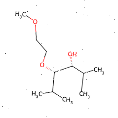 COCCO[C@@H](C(C)C)[C@H](O)C(C)C